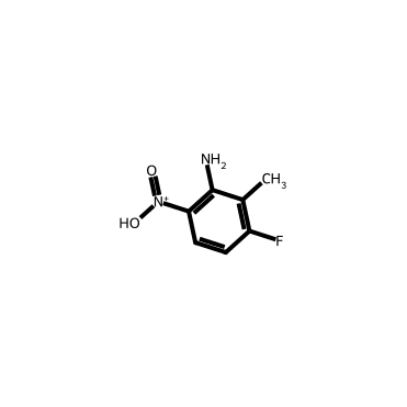 Cc1c(F)ccc([N+](=O)O)c1N